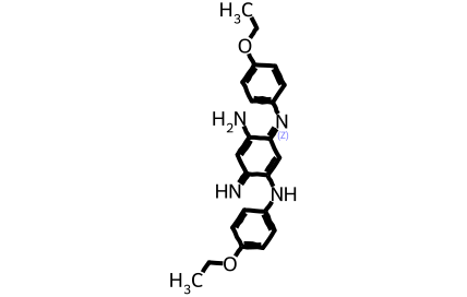 CCOc1ccc(/N=C2/C=C(Nc3ccc(OCC)cc3)C(=N)C=C2N)cc1